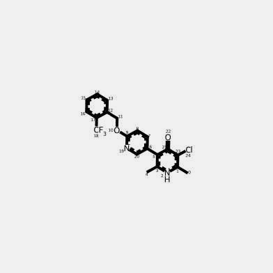 Cc1[nH]c(C)c(-c2ccc(OCc3ccccc3C(F)(F)F)nc2)c(=O)c1Cl